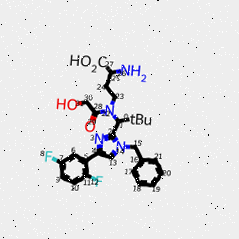 CC(C)(C)C(c1nc(-c2cc(F)ccc2F)cn1Cc1ccccc1)N(CCC(N)C(=O)O)C(=O)CO